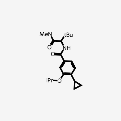 CNC(=O)C(NC(=O)c1ccc(C2CC2)c(OC(C)C)c1)C(C)(C)C